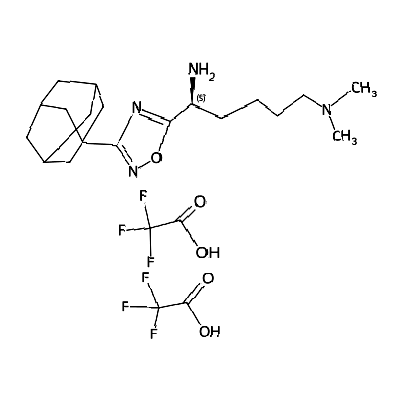 CN(C)CCCC[C@H](N)c1nc(C23CC4CC(CC(C4)C2)C3)no1.O=C(O)C(F)(F)F.O=C(O)C(F)(F)F